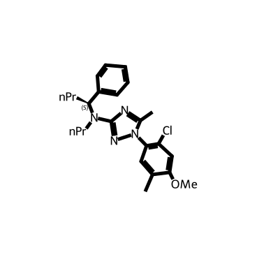 CCC[C@@H](c1ccccc1)N(CCC)c1nc(C)n(-c2cc(C)c(OC)cc2Cl)n1